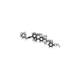 Cc1cccc(NC(=O)Nc2ccc(-c3coc4c(C#CCN5CCOCC5)cnc(N)c34)cc2)c1